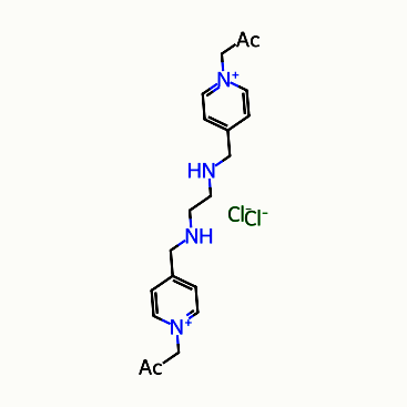 CC(=O)C[n+]1ccc(CNCCNCc2cc[n+](CC(C)=O)cc2)cc1.[Cl-].[Cl-]